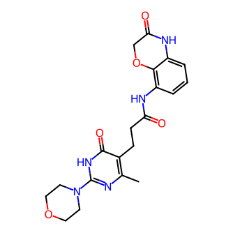 Cc1nc(N2CCOCC2)[nH]c(=O)c1CCC(=O)Nc1cccc2c1OCC(=O)N2